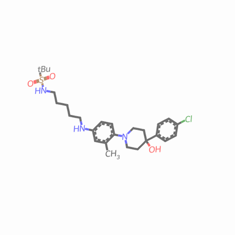 Cc1cc(NCCCCCNS(=O)(=O)C(C)(C)C)ccc1N1CCC(O)(c2ccc(Cl)cc2)CC1